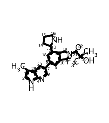 Cc1c[nH]c2ncc(-c3cc4c(c(C5CCCN5)c3)CN(C(=O)C(C)(O)C(F)(F)F)C4)cc12